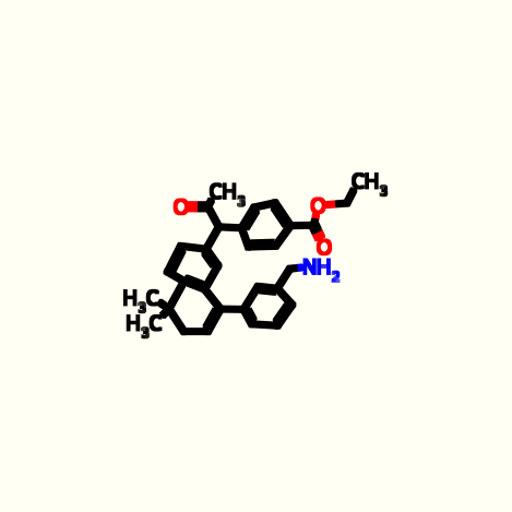 CCOC(=O)c1ccc(C(C(C)=O)c2ccc3c(c2)C(c2cccc(CN)c2)=CCC3(C)C)cc1